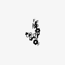 CC(C)(C)OC(=O)N1CCC1C(=O)N(Cc1cn2ccc(-c3nnc(C(F)F)o3)cc2n1)c1cccc(F)c1